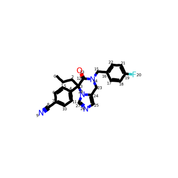 CCCC1(c2ccc(C#N)cc2)C(=O)N(Cc2ccc(F)cc2)Cc2cncn21